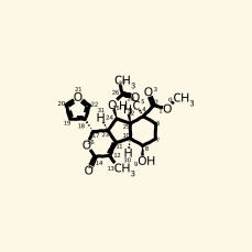 COC(=O)[C@@]1(C)CC[C@@H](O)[C@H]2C3=C(C)C(=O)O[C@H](c4ccoc4)[C@H]3[C@@H](OC(C)=O)[C@@H]21